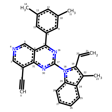 C#Cc1cncc2c(-c3cc(C)cc(C)c3)nc(-n3c(C=C)c(C)c4ccccc43)nc12